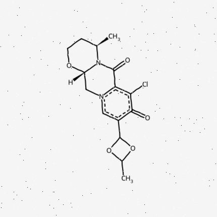 CC1OC(c2cn3c(c(Cl)c2=O)C(=O)N2[C@H](C)CCO[C@H]2C3)O1